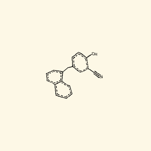 N#Cc1cc(-c2cccc3ccccc23)ccc1O